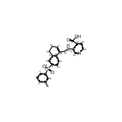 Cc1cccc(S(=O)(=O)c2ccc3c(c2)CCC=C3CNc2cnccc2C(=O)O)c1